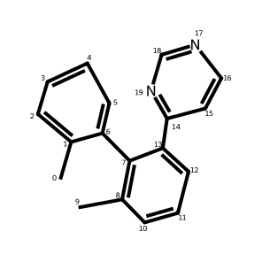 Cc1ccccc1-c1c(C)cccc1-c1ccncn1